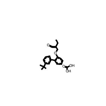 CCC(=C=O)COc1ccccc1-c1cccc(C(C)(C)C)c1.O=C(O)O